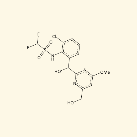 COc1cc(CO)nc(C(O)c2cccc(Cl)c2NS(=O)(=O)C(F)F)n1